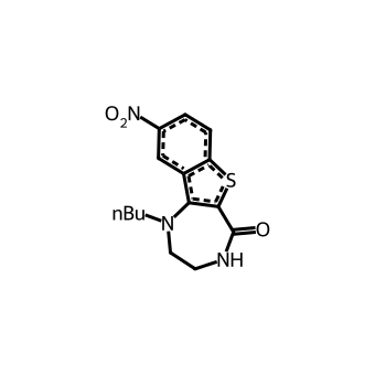 CCCCN1CCNC(=O)c2sc3ccc([N+](=O)[O-])cc3c21